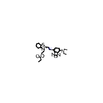 CCC(=O)OCC[n+]1c(/C=C/c2ccc(N(CC)CC)c3nonc23)sc2ccccc21